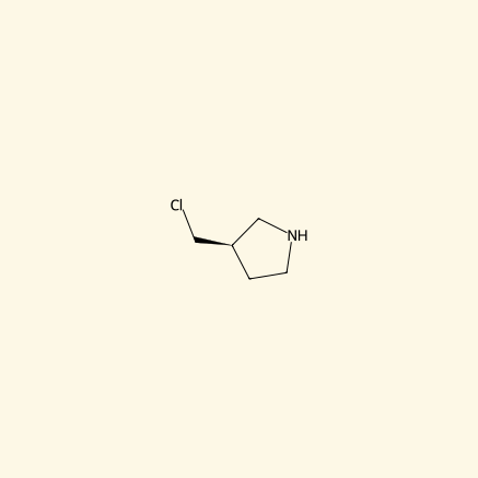 ClC[C@@H]1CCNC1